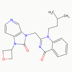 CC(C)CCn1c(Cn2c(=O)n(C3COC3)c3ccncc32)nc(=O)c2ccccc21